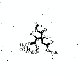 CC(=O)O.CCCCOC(=O)CC(O)(C(=O)OCCCC)C(C(C)=O)C(=O)OCCCC